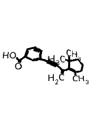 C=C(C#Cc1cccc(C(=O)O)c1)C1=C(C)CCCC1(C)C